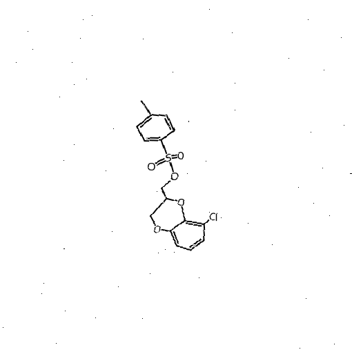 Cc1ccc(S(=O)(=O)OCC2COc3cccc(Cl)c3O2)cc1